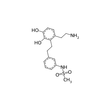 CS(=O)(=O)Nc1cccc(CCc2c(CCN)ccc(O)c2O)c1